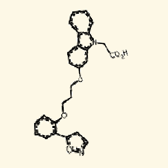 O=C(O)Cn1c2ccccc2c2ccc(OCCCOc3ccccc3-c3ccno3)cc21